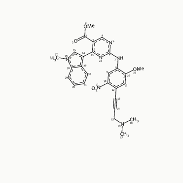 COC(=O)c1cnc(Nc2cc([N+](=O)[O-])c(C#CCN(C)C)cc2OC)nc1-c1cn(C)c2ccccc12